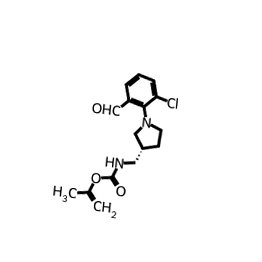 C=C(C)OC(=O)NC[C@H]1CCN(c2c(Cl)cccc2C=O)C1